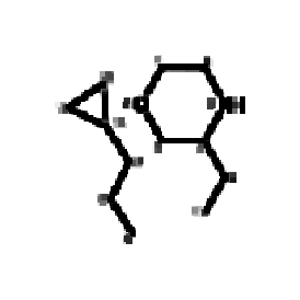 CCC1COCCN1.CCCC1CC1